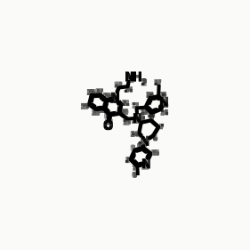 Cc1ccc(N2CCC[C@H](N(Cc3ccnc(C)c3)Cc3cn(CCN)c4ccccc4c3=O)C2)cn1